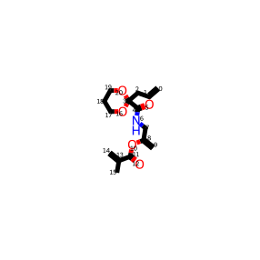 C=CCC1(C(=O)NCC(=C)OC(=O)C(=C)C)OCCCO1